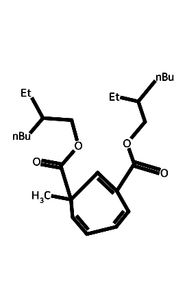 CCCCC(CC)COC(=O)C1=CC(C)(C(=O)OCC(CC)CCCC)C=CC=C1